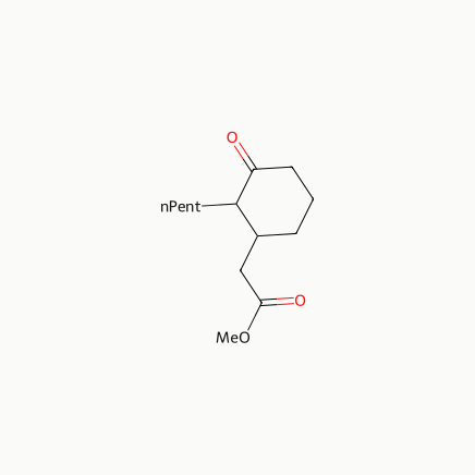 CCCCCC1C(=O)CCCC1CC(=O)OC